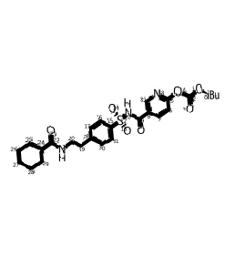 CC[C@H](C)OC(=O)Oc1ccc(C(=O)NS(=O)(=O)c2ccc(CCNC(=O)C3CCCCC3)cc2)cn1